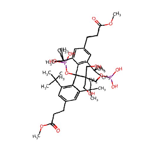 COC(=O)CCc1cc(C(C)(C)C)c(C(OP(O)O)(c2c(C(C)(C)C)cc(CCC(=O)OC)cc2C(C)(C)C)C(CO)(CO)COP(O)O)c(C(C)(C)C)c1